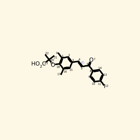 Cc1cc(/C=C/C(=O)c2ccc(I)cc2)cc(C)c1OC(C)(C)C(=O)O